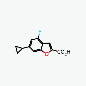 O=C(O)c1cc2c(F)cc(C3CC3)cc2o1